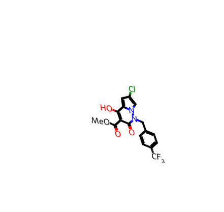 COC(=O)c1c(O)c2cc(Cl)cn2n(Cc2ccc(C(F)(F)F)cc2)c1=O